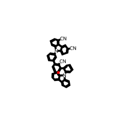 N#Cc1ccc2c(c1)c1c(C#N)cccc1n2-c1cccc(-c2cccc(-c3ccccc3-n3c4ccccc4c4ccccc43)c2C#N)c1